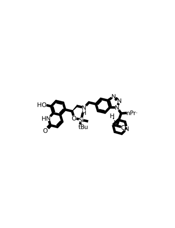 CC[CH]C([C@H]1CN2CCC1CC2)n1nnc2cc(CNC[C@@H](O[Si](C)(C)C(C)(C)C)c3ccc(O)c4[nH]c(=O)ccc34)ccc21